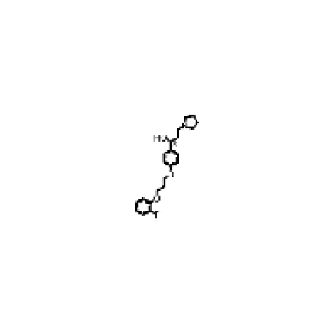 O[C@@H](CCN1CCCC1)c1ccc(OCCCOc2ccccc2F)cc1